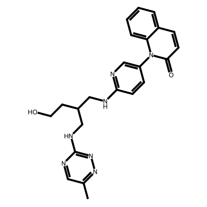 Cc1cnc(NCC(CCO)CNc2ccc(-n3c(=O)ccc4ccccc43)cn2)nn1